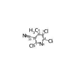 Cc1c(Cl)c(Cl)nc(Cl)c1C#N